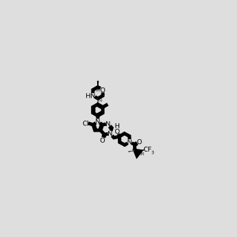 Cc1cc(-n2c(Cl)cc3c(=O)n(CC4(O)CCN(C(=O)[C@]5(C)C[C@H]5C(F)(F)F)CC4)cnc32)ccc1[C@H]1CO[C@H](C)CN1